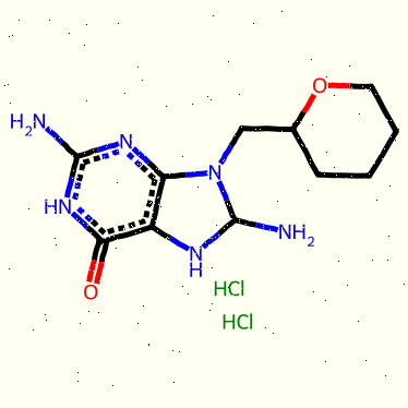 Cl.Cl.Nc1nc2c(c(=O)[nH]1)NC(N)N2CC1CCCCO1